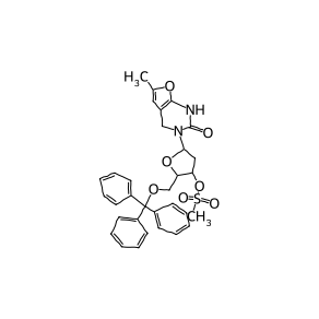 Cc1cc2c(o1)NC(=O)N(C1CC(OS(C)(=O)=O)C(COC(c3ccccc3)(c3ccccc3)c3ccccc3)O1)C2